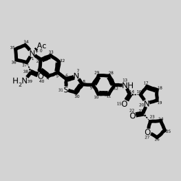 CC(=O)[N+]1(c2ccc(-c3nc(-c4ccc(NC(=O)[C@@H]5C=CCN5C(=O)[C@@H]5CCCO5)cc4)cs3)cc2)CCC[C@H]1C(N)=O